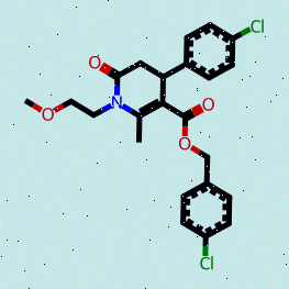 COCCN1C(=O)CC(c2ccc(Cl)cc2)C(C(=O)OCc2ccc(Cl)cc2)=C1C